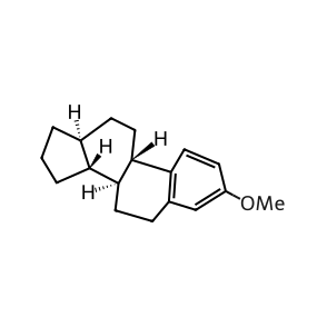 COc1ccc2c(c1)CC[C@H]1[C@@H]3CCC[C@H]3CC[C@H]21